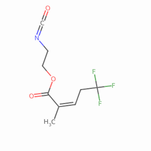 CC(=CCC(F)(F)F)C(=O)OCCN=C=O